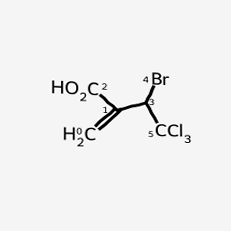 C=C(C(=O)O)C(Br)C(Cl)(Cl)Cl